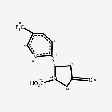 O=C1C[C@@H](c2ccc(C(F)(F)F)cn2)N(C(=O)O)C1